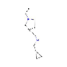 CCN1CC2C(C1)C2NCC1CC1